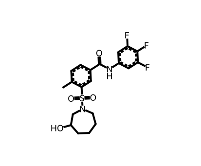 Cc1ccc(C(=O)Nc2cc(F)c(F)c(F)c2)cc1S(=O)(=O)N1CCCCC(O)C1